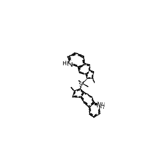 Cc1cc2cc3ccc[nH]c3cc2c1[Si](C)(C)c1c(C)cc2cc3ccc[nH]c3cc12